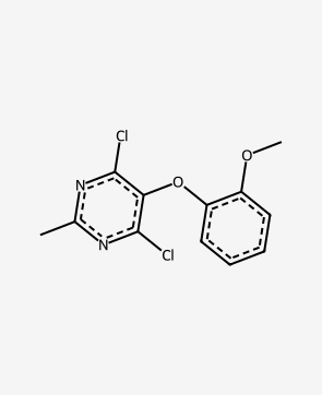 COc1ccccc1Oc1c(Cl)nc(C)nc1Cl